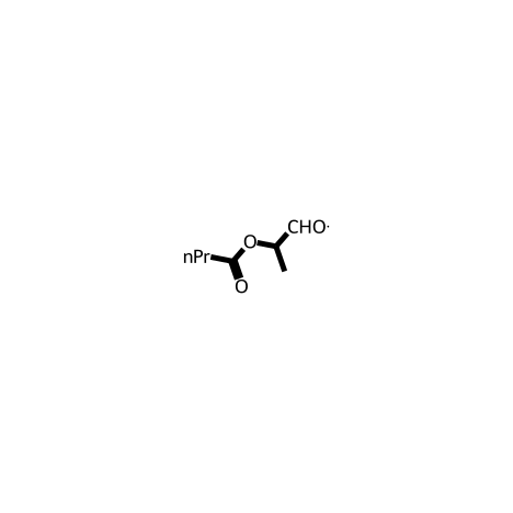 CCCC(=O)OC(C)[C]=O